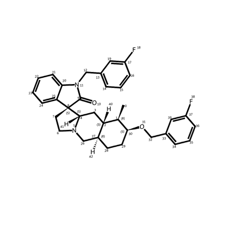 C[C@@H]1[C@H]2C[C@@H]3N(CC[C@@]34C(=O)N(Cc3cccc(F)c3)c3ccccc34)C[C@@H]2CC[C@@H]1OCc1cccc(F)c1